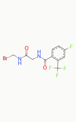 O=C(CNC(=O)c1ccc(F)cc1C(F)(F)F)NCBr